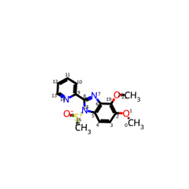 COc1ccc2c(nc(-c3ccccn3)n2[S+](C)[O-])c1OC